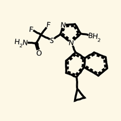 Bc1cnc(SC(F)(F)C(N)=O)n1-c1ccc(C2CC2)c2ccccc12